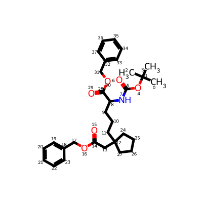 CC(C)(C)OC(=O)NC(CCCC1(CC(=O)OCc2ccccc2)CCCC1)C(=O)OCc1ccccc1